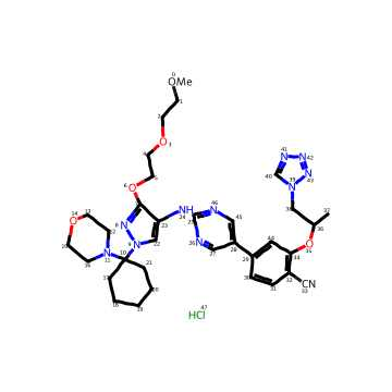 COCCOCCOc1nn(C2(N3CCOCC3)CCCCC2)cc1Nc1ncc(-c2ccc(C#N)c(OC(C)Cn3cnnn3)c2)cn1.Cl